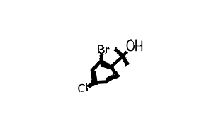 CC(C)(O)c1ccc(Cl)cc1Br